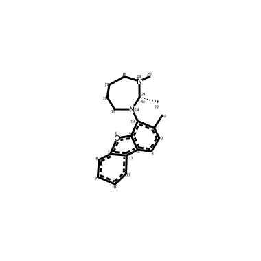 Cc1ccc2c(oc3ccccc32)c1N1CCCCN(C)[C@@H]1C